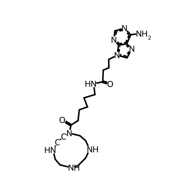 Nc1ncnc2c1ncn2CCCC(=O)NCCCCCC(=O)N1CCNCCNCCNCC1